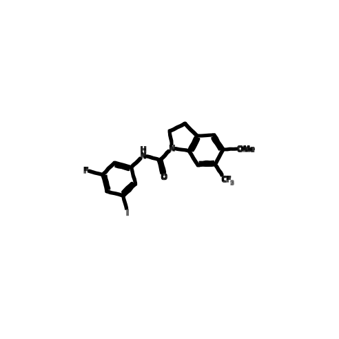 COc1cc2c(cc1C(F)(F)F)N(C(=O)Nc1cc(F)cc(I)c1)CC2